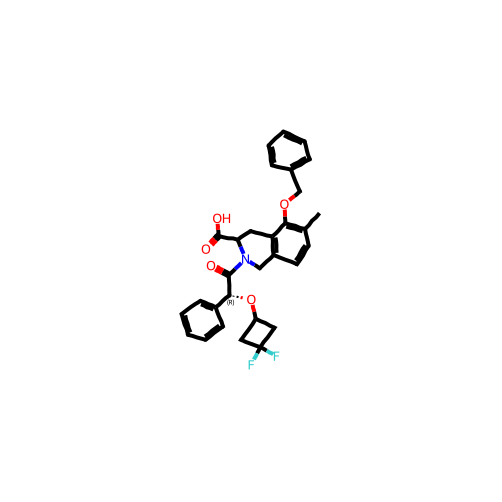 Cc1ccc2c(c1OCc1ccccc1)CC(C(=O)O)N(C(=O)[C@H](OC1CC(F)(F)C1)c1ccccc1)C2